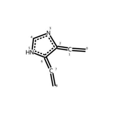 C=C=c1nc[nH]c1=C=C